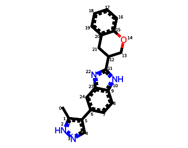 Cc1[nH]ncc1-c1ccc2[nH]c(C3COc4ccccc4C3)nc2c1